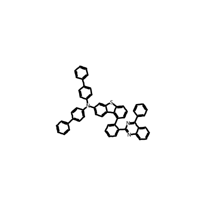 c1ccc(-c2ccc(N(c3ccc(-c4ccccc4)cc3)c3ccc4c(c3)sc3cccc(-c5ccccc5-c5nc(-c6ccccc6)c6ccccc6n5)c34)cc2)cc1